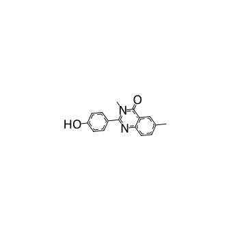 Cc1ccc2nc(-c3ccc(O)cc3)n(C)c(=O)c2c1